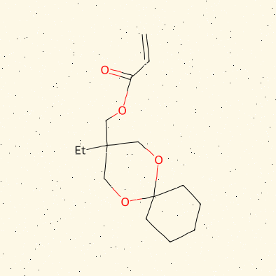 C=CC(=O)OCC1(CC)COC2(CCCCC2)OC1